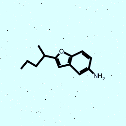 CCCC(C)c1cc2cc(N)ccc2o1